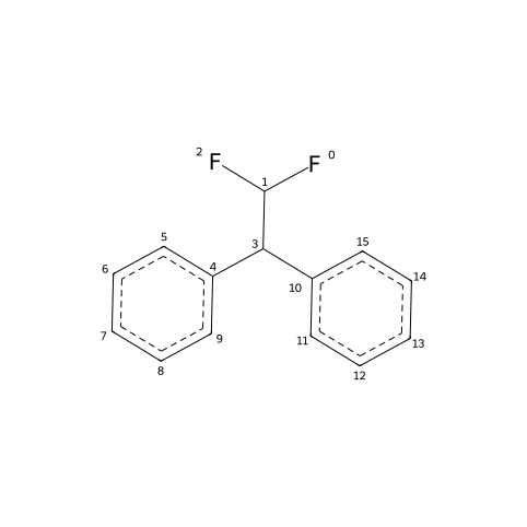 FC(F)C(c1ccccc1)c1ccccc1